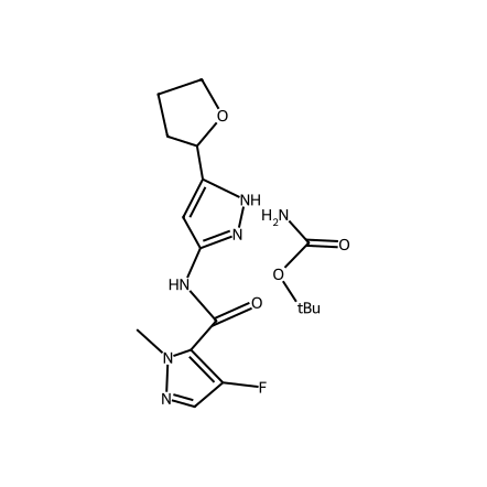 CC(C)(C)OC(N)=O.Cn1ncc(F)c1C(=O)Nc1cc(C2CCCO2)[nH]n1